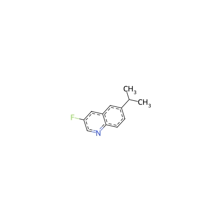 CC(C)c1ccc2ncc(F)cc2c1